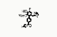 COc1c(O)c(F)cc(C=C2N=CC=N2)c1-c1ccc(C(=O)N2CC(F)C2)cc1